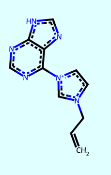 C=CCn1cc[n+](-c2ncnc3[nH]cnc23)c1